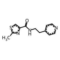 Cc1nc(C(=O)NCCc2ccncc2)cs1